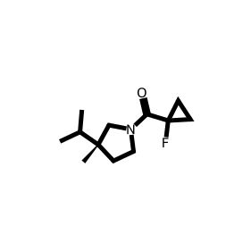 CC(C)[C@@]1(C)CCN(C(=O)C2(F)CC2)C1